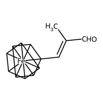 CC(C=O)=C[C]12[CH]3[CH]4[CH]5[CH]1[Fe]45321678[CH]2[CH]1[CH]6[CH]7[CH]28